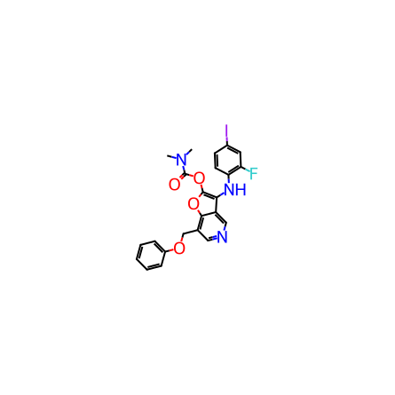 CN(C)C(=O)Oc1oc2c(COc3ccccc3)cncc2c1Nc1ccc(I)cc1F